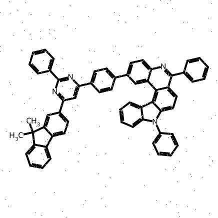 CC1(C)c2ccccc2-c2ccc(-c3cc(-c4ccc(-c5ccc6nc(-c7ccccc7)c7ccc8c(c9ccccc9n8-c8ccccc8)c7c6c5)cc4)nc(-c4ccccc4)n3)cc21